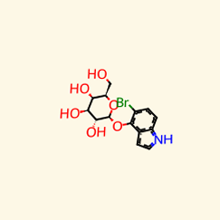 OC[C@H]1O[C@@H](Oc2c(Br)ccc3[nH]ccc23)[C@H](O)[C@@H](O)[C@H]1O